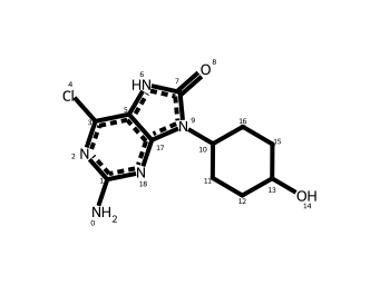 Nc1nc(Cl)c2[nH]c(=O)n(C3CCC(O)CC3)c2n1